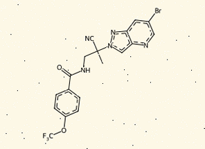 CC(C#N)(CNC(=O)c1ccc(OC(F)(F)F)cc1)n1cc2ncc(Br)cc2n1